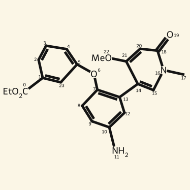 CCOC(=O)c1cccc(Oc2ccc(N)cc2-c2cn(C)c(=O)cc2OC)c1